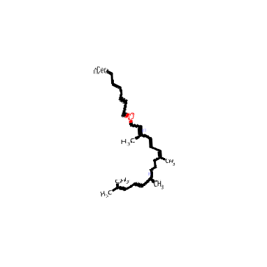 CCCCCCCCCCCCCCCCOC/C=C(\C)CCC=C(C)CC/C=C(\C)CCC=C(C)C